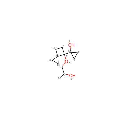 CC(O)COC1(C2(O)CC2)CCC12CC2